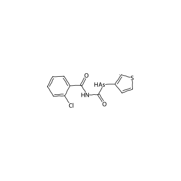 O=C(NC(=O)c1ccccc1Cl)[AsH]c1[c]scc1